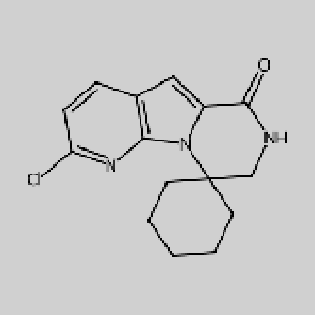 O=C1NCC2(CCCCC2)n2c1cc1ccc(Cl)nc12